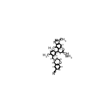 Cc1ccc(C(CC(=O)O)c2ccc3c(nnn3C)c2C)cc1CN1CCOc2ccc(C#N)cc2C1.N